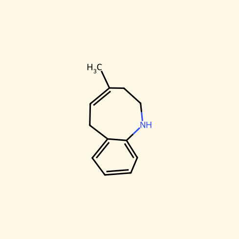 C/C1=C/Cc2ccccc2NCC1